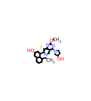 CCc1cccc2cc(O)cc(-c3ncc4c(N5CCC(O)C5)nc(OC)nc4c3F)c12